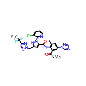 CNC(=O)c1cc(-n2cncn2)cc(C)c1NC(=O)c1cc(Cn2nnc(C(F)(F)C(F)(F)F)n2)nn1-c1ncccc1Cl